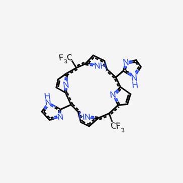 FC(F)(F)c1c2nc(c(-c3ncc[nH]3)c3ccc([nH]3)c(C(F)(F)F)c3nc(c(-c4ncc[nH]4)c4ccc1[nH]4)C=C3)C=C2